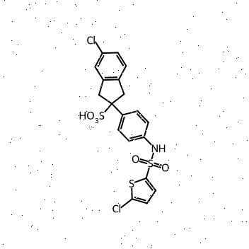 O=S(=O)(Nc1ccc(C2(S(=O)(=O)O)Cc3ccc(Cl)cc3C2)cc1)c1ccc(Cl)s1